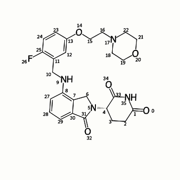 O=C1CC[C@H](N2Cc3c(NCc4cc(OCCN5CCOCC5)ccc4F)cccc3C2=O)C(=O)N1